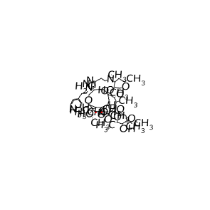 C=C1CO[C@@H]2[C@@H](C)/C(=N/O)[C@H](C)C[C@@](C)(OC1)[C@H](O[C@@H]1O[C@H](C)C[C@H](N(C)CCc3cn(CCc4ccncc4)nn3)[C@H]1O)[C@@H](C)[C@H](O[C@H]1C[C@@](C)(OC)[C@@H](O)[C@H](C)O1)[C@@H](C)C(=O)O[C@H](CC)[C@@]2(C)O